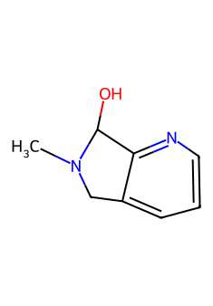 CN1Cc2cccnc2C1O